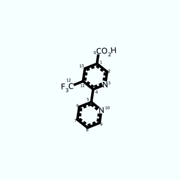 O=C(O)c1cnc(-c2ccccn2)c(C(F)(F)F)c1